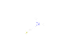 CC1(C)c2cc(-c3ccc4c(c3)C(C)(C)c3c-4sc4ccccc34)ccc2-c2ccc(N(c3ccc(-c4ccccc4)cc3)c3ccc(-c4ccccc4)cc3)cc21